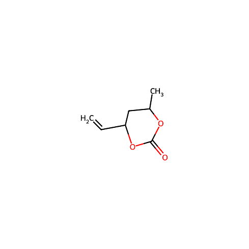 C=CC1CC(C)OC(=O)O1